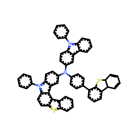 C1=CC2Sc3c(-c4ccc(N(c5ccc6c(c5)c5ccccc5n6-c5ccccc5)c5ccc6c(c5)c5c7c(ccc5n6-c5ccccc5)sc5ccccc57)cc4)cccc3C2C=C1